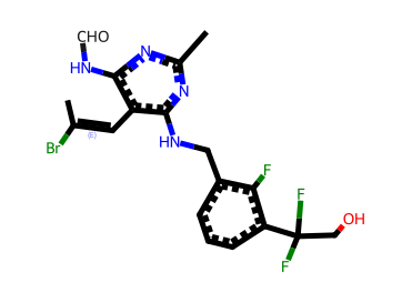 C/C(Br)=C\c1c(NC=O)nc(C)nc1NCc1cccc(C(F)(F)CO)c1F